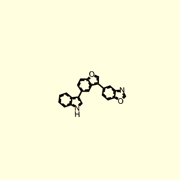 c1ccc2c(-c3ccc4occ(-c5ccc6ocnc6c5)c4c3)c[nH]c2c1